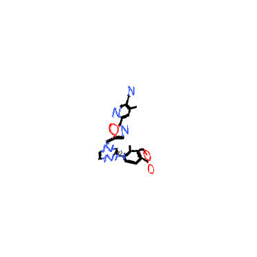 Cc1cc(-c2ncc(CN3CCN[C@H](c4ccc5c(c4C)COC5=O)C3)o2)ncc1C#N